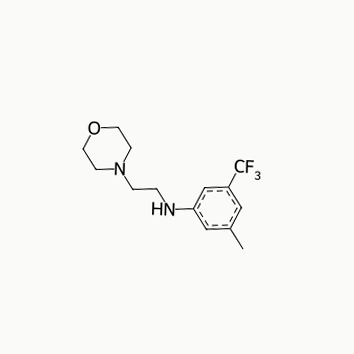 Cc1cc(NCCN2CCOCC2)cc(C(F)(F)F)c1